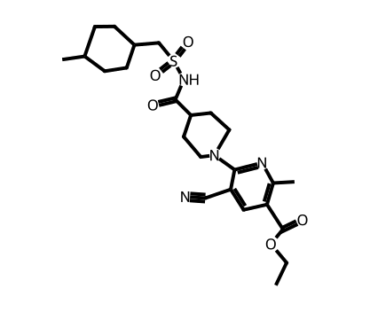 CCOC(=O)c1cc(C#N)c(N2CCC(C(=O)NS(=O)(=O)CC3CCC(C)CC3)CC2)nc1C